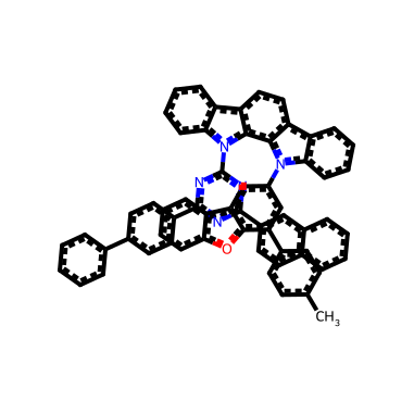 Cc1ccc(-c2cc(-n3c4ccccc4c4ccc5c6ccccc6n(-c6nc(-c7ccc(-c8ccccc8)cc7)nc(-c7ccc8ccccc8c7)n6)c5c43)cc3c2oc2ccccc23)cc1